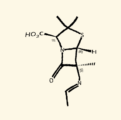 CC=N[C@@]1(C)C(=O)N2[C@@H](C(=O)O)C(C)(C)S[C@@H]21